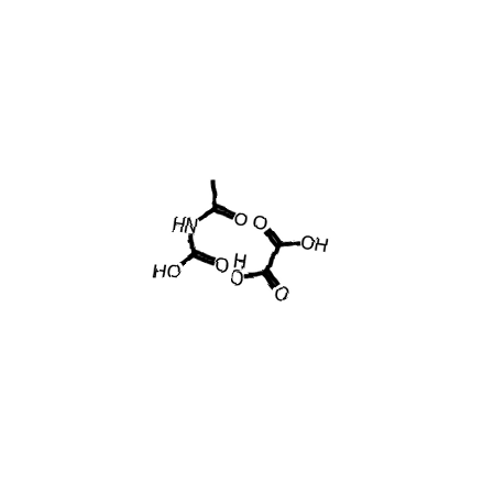 CC(=O)NC(=O)O.O=C(O)C(=O)O